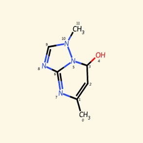 CC1=CC(O)N2C(=N1)N=CN2C